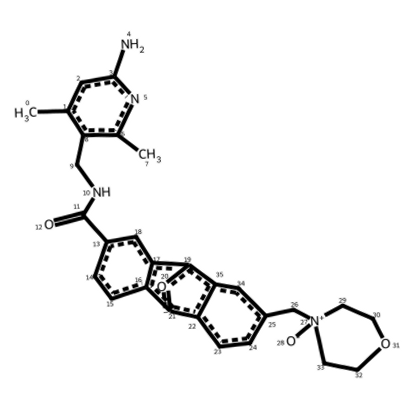 Cc1cc(N)nc(C)c1CNC(=O)c1ccc2c(c1)c1oc2c2ccc(C[N+]3([O-])CCOCC3)cc21